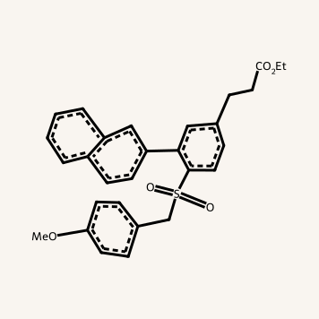 CCOC(=O)CCc1ccc(S(=O)(=O)Cc2ccc(OC)cc2)c(-c2ccc3ccccc3c2)c1